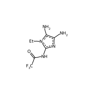 CCn1c(NC(=O)C(F)(F)F)nc(N)c1N